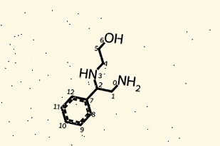 NCC(NCCO)c1ccccc1